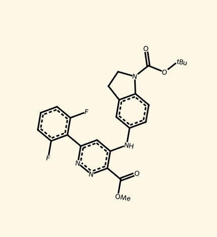 COC(=O)c1nnc(-c2c(F)cccc2F)cc1Nc1ccc2c(c1)CCN2C(=O)OC(C)(C)C